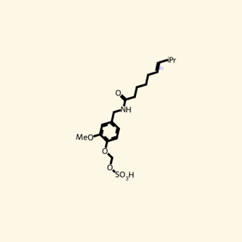 COc1cc(CNC(=O)CCCC/C=C/C(C)C)ccc1OCOS(=O)(=O)O